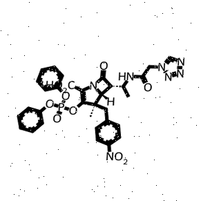 CC(NC(=O)Cn1cnnn1)[C@H]1C(=O)N2C(C(=O)O)=C(OP(=O)(Oc3ccccc3)Oc3ccccc3)[C@](C)(Cc3ccc([N+](=O)[O-])cc3)[C@@H]12